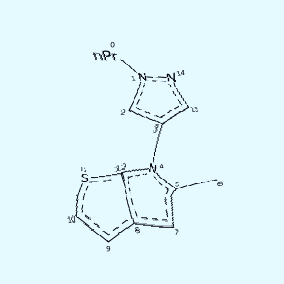 CCCn1cc(-n2c(C)cc3ccsc32)cn1